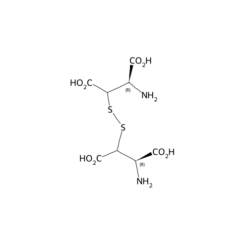 N[C@H](C(=O)O)C(SSC(C(=O)O)[C@H](N)C(=O)O)C(=O)O